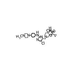 CN1CCN(c2ccc(Nc3ncc(Cl)c(CN4CCC(C)(NS(=O)(=O)C5CC5)CC4)n3)cc2)CC1